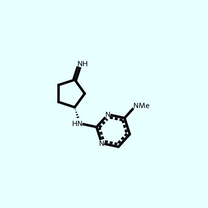 CNc1ccnc(N[C@@H]2CCC(=N)C2)n1